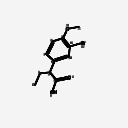 CCC(C(=O)O)c1ccc(OC)c(Br)c1